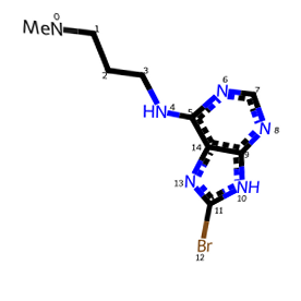 CNCCCNc1ncnc2[nH]c(Br)nc12